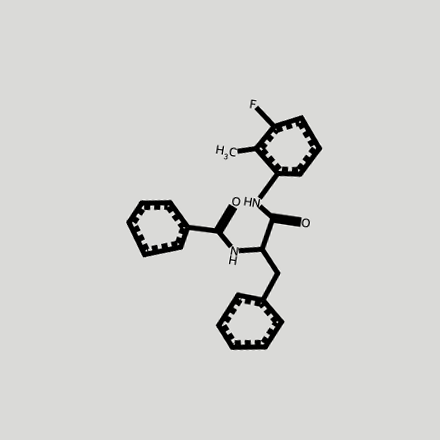 Cc1c(F)cccc1NC(=O)C(Cc1ccccc1)NC(=O)c1ccccc1